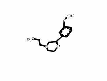 CCCCCCCCOc1cccc(C2CN(CCC(=O)O)CCO2)c1